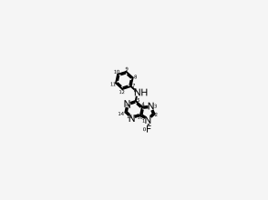 Fn1cnc2c(Nc3ccccc3)ncnc21